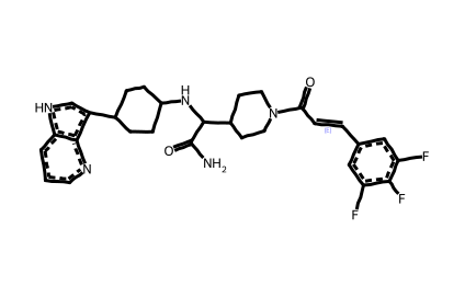 NC(=O)C(NC1CCC(c2c[nH]c3cccnc23)CC1)C1CCN(C(=O)/C=C/c2cc(F)c(F)c(F)c2)CC1